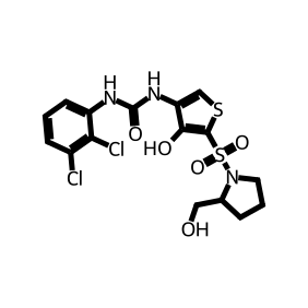 O=C(Nc1csc(S(=O)(=O)N2CCCC2CO)c1O)Nc1cccc(Cl)c1Cl